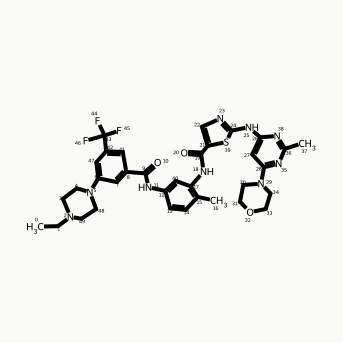 CCN1CCN(c2cc(C(=O)Nc3ccc(C)c(NC(=O)c4cnc(Nc5cc(N6CCOCC6)nc(C)n5)s4)c3)cc(C(F)(F)F)c2)CC1